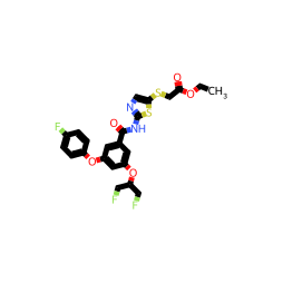 CCOC(=O)CSc1cnc(NC(=O)c2cc(Oc3ccc(F)cc3)cc(OC(CF)CF)c2)s1